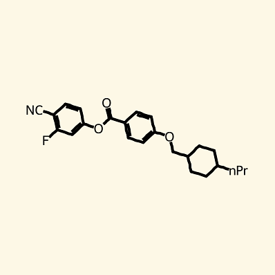 CCCC1CCC(COc2ccc(C(=O)Oc3ccc(C#N)c(F)c3)cc2)CC1